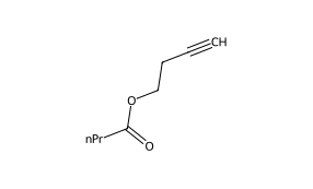 C#CCCOC(=O)CCC